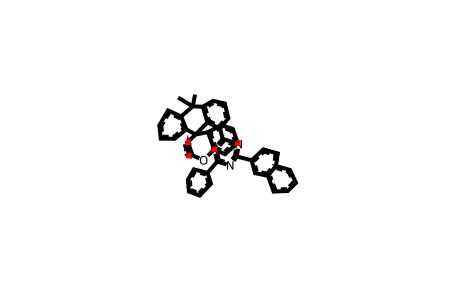 CC1(C)c2ccccc2C2(c3ccccc3Oc3ccccc32)c2c(-c3nc(-c4ccccc4)nc(-c4ccc5ccccc5c4)n3)cccc21